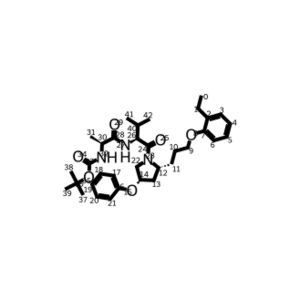 CCc1ccccc1OCCC[C@@H]1C[C@H](Oc2ccccc2)CN1C(=O)[C@@H](NC(=O)[C@H](C)NC(=O)OC(C)(C)C)C(C)C